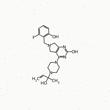 C=CC(C)(O)N1CCN(c2nc(O)nc3c2CN(Cc2c(O)cccc2F)C3)CC1